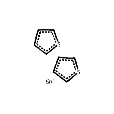 [Sn].c1ccsc1.c1ccsc1